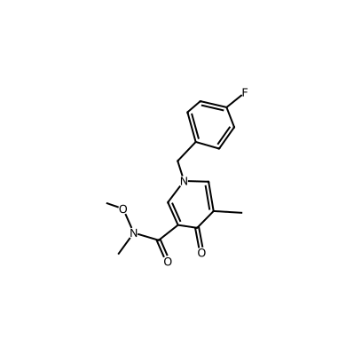 CON(C)C(=O)c1cn(Cc2ccc(F)cc2)cc(C)c1=O